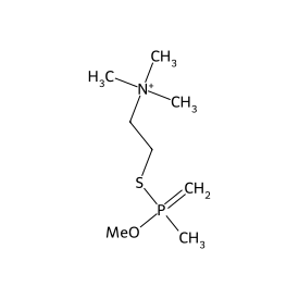 C=P(C)(OC)SCC[N+](C)(C)C